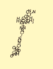 CC1(C)[C@H](NC(=O)c2cnc(N3CCC(CCN4CCN(c5ccc6c(c5)C(=O)N(C5CCC(=O)NC5=O)C6=O)CC4)CC3)nc2)C(C)(C)[C@H]1Oc1ccc(C#N)c2ncccc12